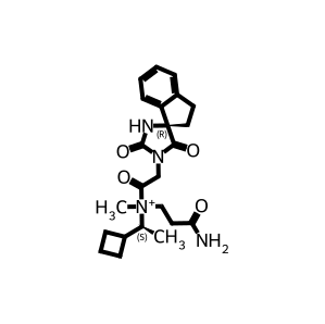 C[C@@H](C1CCC1)[N+](C)(CCC(N)=O)C(=O)CN1C(=O)N[C@@]2(CCc3ccccc32)C1=O